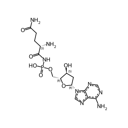 NC(=O)CC[C@H](N)C(=O)NP(=O)(O)OC[C@H]1O[C@@H](n2cnc3c(N)ncnc32)C[C@@H]1O